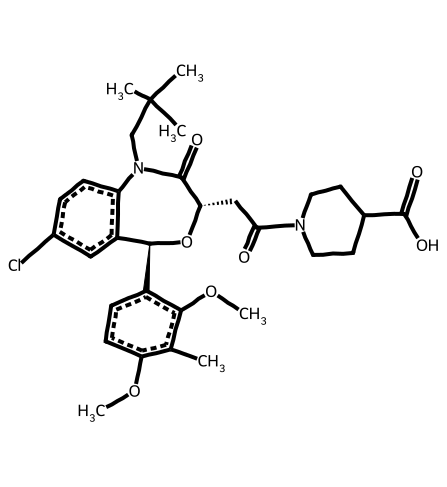 COc1ccc([C@@H]2O[C@@H](CC(=O)N3CCC(C(=O)O)CC3)C(=O)N(CC(C)(C)C)c3ccc(Cl)cc32)c(OC)c1C